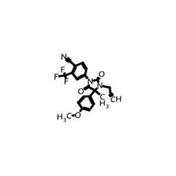 C#CCN1C(=O)N(c2ccc(C#N)c(C(F)(F)F)c2)C(=O)C1(C)c1ccc(OC)cc1